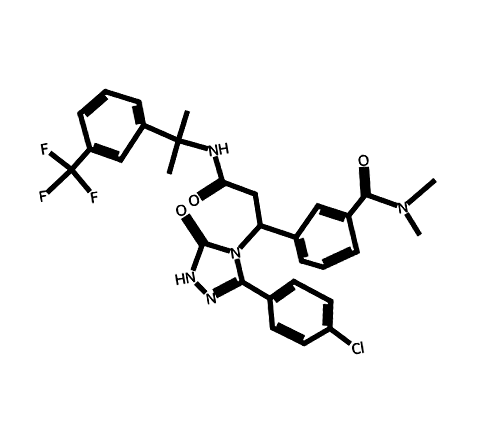 CN(C)C(=O)c1cccc(C(CC(=O)NC(C)(C)c2cccc(C(F)(F)F)c2)n2c(-c3ccc(Cl)cc3)n[nH]c2=O)c1